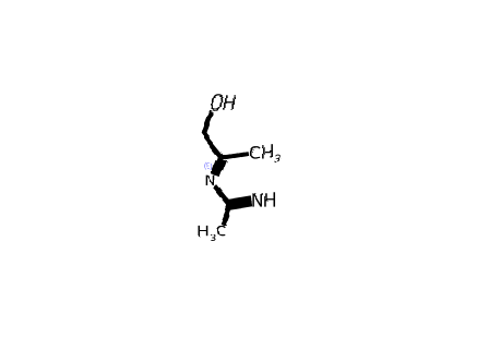 CC(=N)/N=C(\C)CO